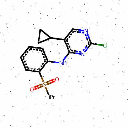 CC(C)S(=O)(=O)c1ccccc1Nc1nc(Cl)ncc1C1CC1